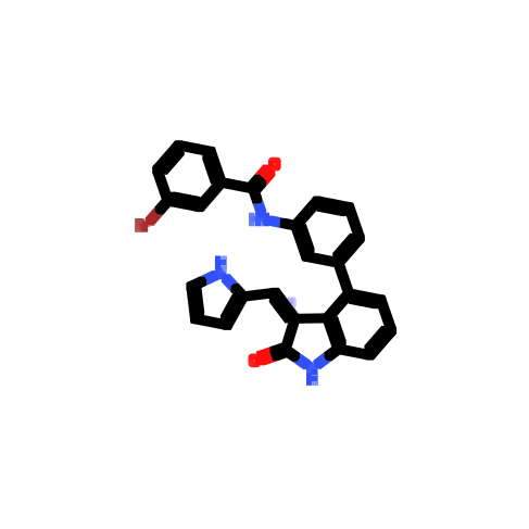 O=C1Nc2cccc(-c3cccc(NC(=O)c4cccc(Br)c4)c3)c2/C1=C/c1ccc[nH]1